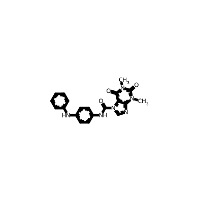 Cn1c(=O)c2c(ncn2C(=O)Nc2ccc(Nc3ccccc3)cc2)n(C)c1=O